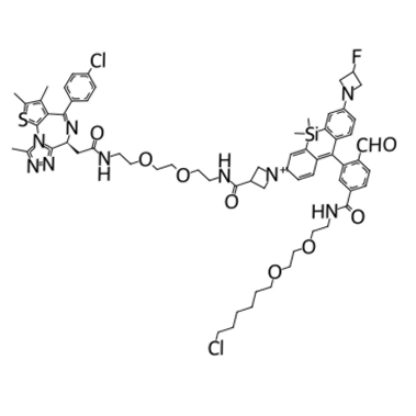 Cc1sc2c(c1C)C(c1ccc(Cl)cc1)=N[C@@H](CC(=O)NCCOCCOCCNC(=O)C1C[N+](=C3C=CC4=C(c5cc(C(=O)NCCOCCOCCCCCCCl)ccc5C=O)c5ccc(N6CC(F)C6)cc5[Si](C)(C)C4=C3)C1)c1nnc(C)n1-2